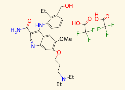 CCc1c(CO)cccc1Nc1c(C(N)=O)cnc2cc(OCCCN(CC)CC)c(OC)cc12.O=C(O)C(F)(F)F.O=C(O)C(F)(F)F